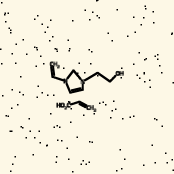 C=CC(=O)O.C=CN1C=CN(CCO)C1